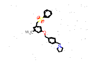 Cc1cc(CS(=O)(=O)c2ccccc2)cc(OCc2ccc(CN3CCCC3)cc2)c1